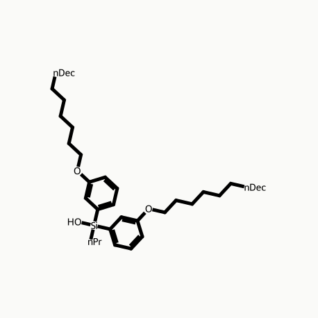 CCCCCCCCCCCCCCCCOc1cccc([Si](O)(CCC)c2cccc(OCCCCCCCCCCCCCCCC)c2)c1